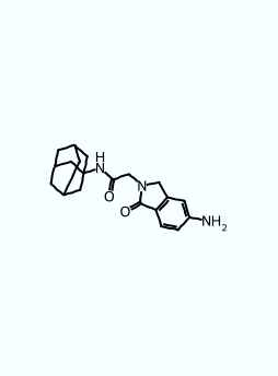 Nc1ccc2c(c1)CN(CC(=O)NC13CC4CC(CC(C4)C1)C3)C2=O